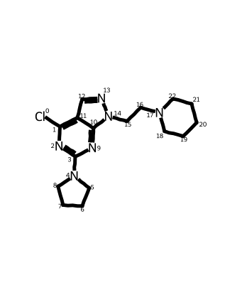 Clc1nc(N2CCCC2)nc2c1cnn2CCN1CCCCC1